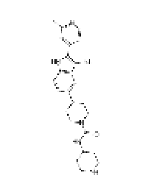 CCc1c(-c2ccnc(C)c2)[nH]c2ccc(C3CCN(C(=O)NC4CCNCC4)CC3)cc12